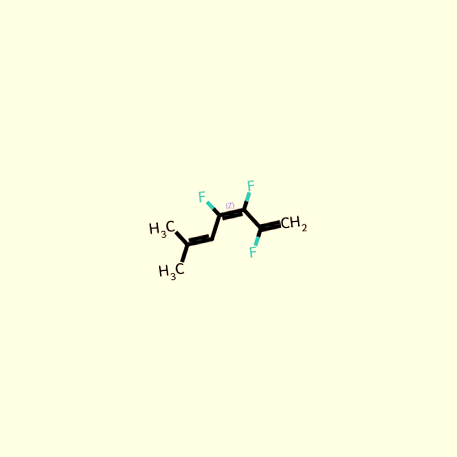 C=C(F)/C(F)=C(/F)C=C(C)C